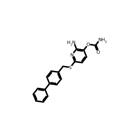 NC(=O)Oc1ccc(SCc2ccc(-c3ccccc3)cc2)nc1N